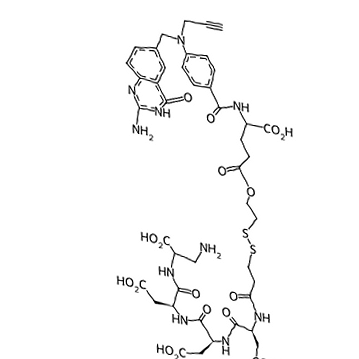 C#CCN(Cc1ccc2nc(N)[nH]c(=O)c2c1)c1ccc(C(=O)NC(CCC(=O)OCCSSCCC(=O)N[C@@H](CC(=O)O)C(=O)N[C@@H](CC(=O)O)C(=O)N[C@@H](CC(=O)O)C(=O)NC(CN)C(=O)O)C(=O)O)cc1